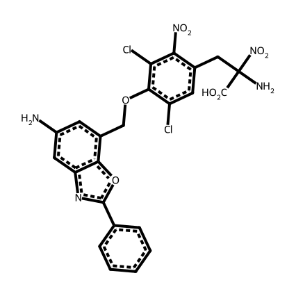 Nc1cc(COc2c(Cl)cc(CC(N)(C(=O)O)[N+](=O)[O-])c([N+](=O)[O-])c2Cl)c2oc(-c3ccccc3)nc2c1